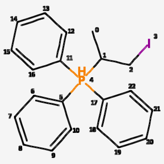 CC(CI)[PH](c1ccccc1)(c1ccccc1)c1ccccc1